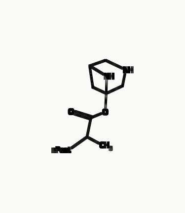 CCCCCC(C)C(=O)OC12CNCC(C1)N2